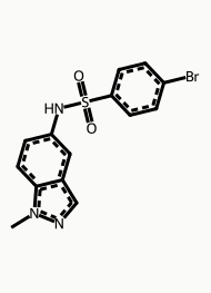 Cn1ncc2cc(NS(=O)(=O)c3ccc(Br)cc3)ccc21